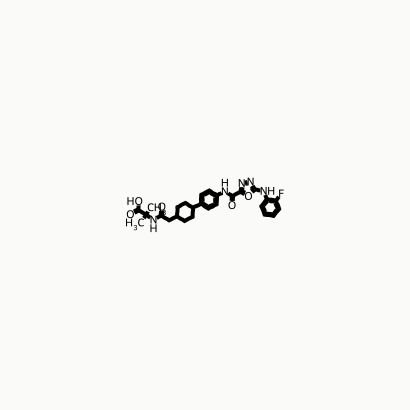 CC(C)(NC(=O)CC1CCC(c2ccc(NC(=O)c3nnc(Nc4ccccc4F)o3)cc2)CC1)C(=O)O